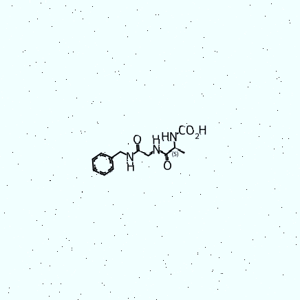 C[C@H](NC(=O)O)C(=O)NCC(=O)NCc1ccccc1